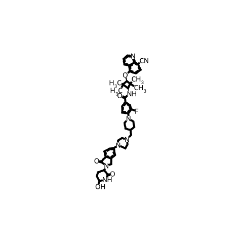 CC1(C)[C@H](NC(=O)c2ccc(N3CCC(CN4CCN(c5ccc6c(c5)CN(C5CCC(O)NC5=O)C6=O)CC4)CC3)c(F)c2)C(C)(C)[C@H]1Oc1ccc(C#N)c2ncccc12